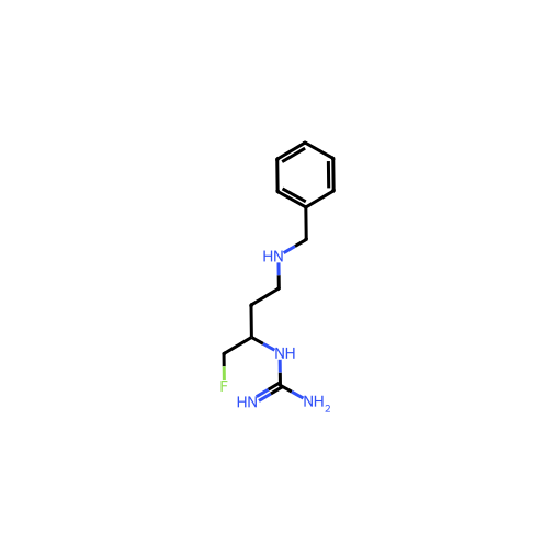 N=C(N)NC(CF)CCNCc1ccccc1